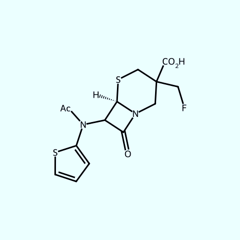 CC(=O)N(c1cccs1)C1C(=O)N2CC(CF)(C(=O)O)CS[C@H]12